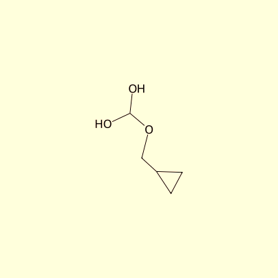 OC(O)OCC1CC1